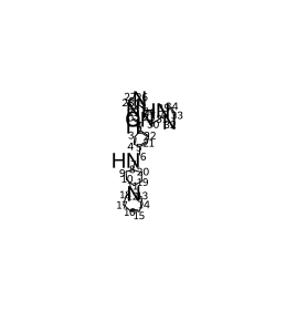 O=C(c1ccc(CN[C@H]2CC[C@H](N3CCC=CCC3)CC2)cc1)N(Cc1ncc[nH]1)Cc1ncc[nH]1